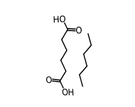 CCCCCC.O=C(O)CCCCC(=O)O